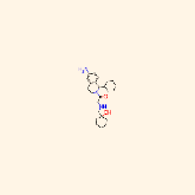 Nc1ccc2c(c1)CCN(C(=O)CNCC1(O)CCCCC1)C2C1CCCCC1